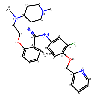 CNc1cccc(OCCN(C(C)=O)C2CCN(C)CC2)c1C(=N)Nc1ccc(OCc2ccccn2)c(Cl)c1